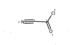 N#CC(=O)Cl